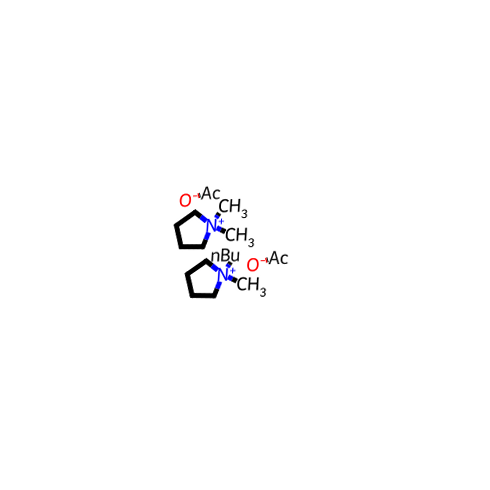 CC(=O)[O-].CC(=O)[O-].CCCC[N+]1(C)CCCC1.C[N+]1(C)CCCC1